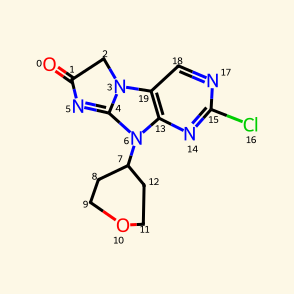 O=C1CN2C(=N1)N(C1CCOCC1)c1nc(Cl)ncc12